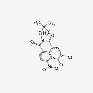 CC(C)(C)ON1C(=O)c2ccc([N+](=O)[O-])c3c(Cl)c(Cl)cc(c23)C1=O